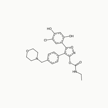 CCNC(=O)Oc1noc(-c2cc(Cl)c(O)cc2O)c1-c1ccc(CN2CCOCC2)cc1